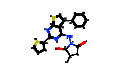 CC1CC(=O)N(Nc2nc(-c3cccs3)nc3scc(-c4ccccc4)c23)C1=O